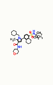 Cc1c(C(=O)NC2CCOCC2)cc(-c2ccc(S(=O)(=O)NC(C)(C)C)c3c2CCCC3)n1CC1CCCCC1